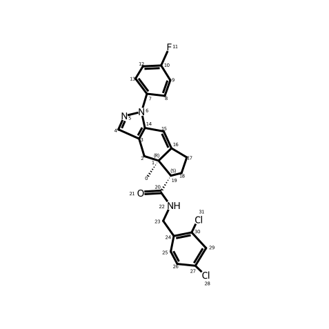 C[C@]12Cc3cnn(-c4ccc(F)cc4)c3C=C1CC[C@@H]2C(=O)NCc1ccc(Cl)cc1Cl